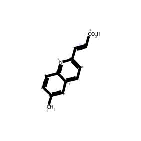 Cc1ccc2nc(/C=C/C(=O)O)ccc2c1